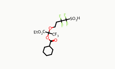 CCOC(=O)C(OCCC(F)(F)C(F)(F)S(=O)(=O)O)(OC(=O)C1CCCCC1)C(F)(F)F